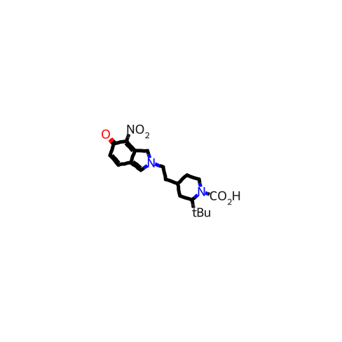 CC(C)(C)C1CC(CCN2C=C3C=CC(=O)C([N+](=O)[O-])=C3C2)CCN1C(=O)O